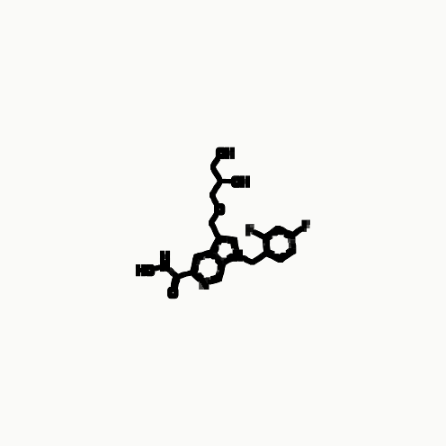 O=C(NO)c1cc2c(COCC(O)CO)cn(Cc3ccc(F)cc3F)c2cn1